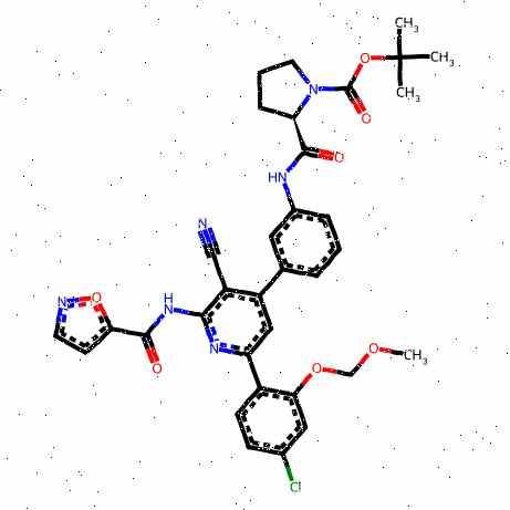 COCOc1cc(Cl)ccc1-c1cc(-c2cccc(NC(=O)[C@H]3CCCN3C(=O)OC(C)(C)C)c2)c(C#N)c(NC(=O)c2ccno2)n1